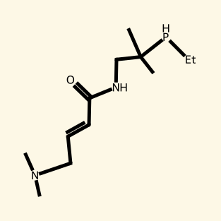 CCPC(C)(C)CNC(=O)/C=C/CN(C)C